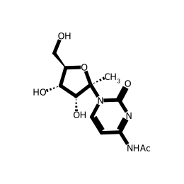 CC(=O)Nc1ccn([C@]2(C)O[C@H](CO)[C@@H](O)[C@H]2O)c(=O)n1